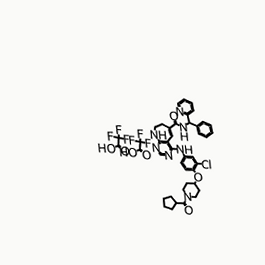 O=C(NC(c1ccccc1)c1ccccn1)C1=Cc2c(ncnc2Nc2ccc(OC3CCN(C(=O)C4CCCC4)CC3)c(Cl)c2)NCC1.O=C(O)C(F)(F)F.O=C(O)C(F)(F)F